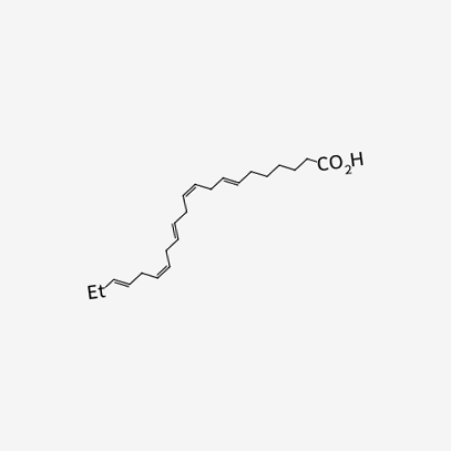 CC/C=C/C/C=C\C/C=C/C/C=C\C/C=C/CCCCCC(=O)O